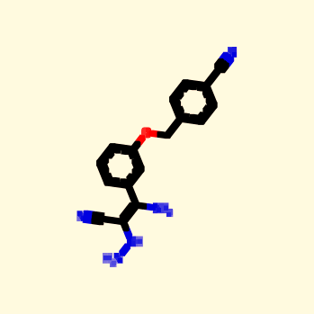 N#C/C(NN)=C(/N)c1cccc(OCc2ccc(C#N)cc2)c1